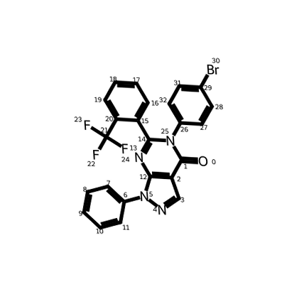 O=c1c2cnn(-c3ccccc3)c2nc(-c2ccccc2C(F)(F)F)n1-c1ccc(Br)cc1